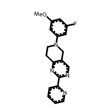 COc1cc(F)cc(N2CCc3nc(-c4ccccn4)ncc3C2)c1